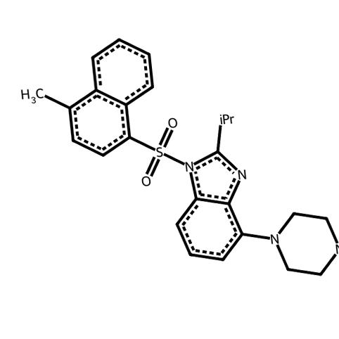 Cc1ccc(S(=O)(=O)n2c(C(C)C)nc3c(N4CCNCC4)cccc32)c2ccccc12